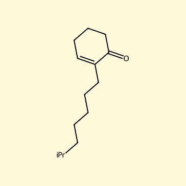 CC(C)CCCCCC1=CCCCC1=O